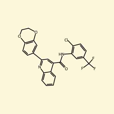 O=C(Nc1cc(C(F)(F)F)ccc1Cl)c1cc(-c2ccc3c(c2)OCCO3)nc2ccccc12